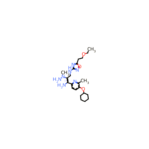 CCOCCc1nc(NC/C(=C(/N)c2ccc(OC3CCCCC3)c(C)n2)N(C)N)no1